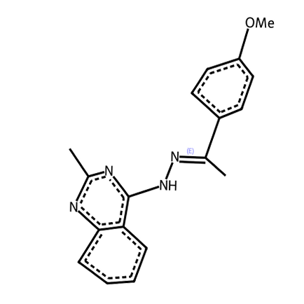 COc1ccc(/C(C)=N/Nc2nc(C)nc3ccccc23)cc1